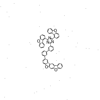 c1cc(-c2cccc(-c3nc(-c4cccc5oc6ccccc6c45)nc(-c4cccc5oc6ccccc6c45)n3)c2)cc(-c2ccc3oc4cc5oc6ccccc6c5cc4c3c2)c1